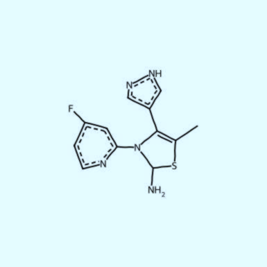 CC1=C(c2cn[nH]c2)N(c2cc(F)ccn2)C(N)S1